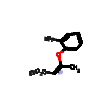 CCCc1ccccc1O/C(C)=C\C(=O)OCC